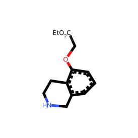 CCOC(=O)COc1cccc2c1CCNC2